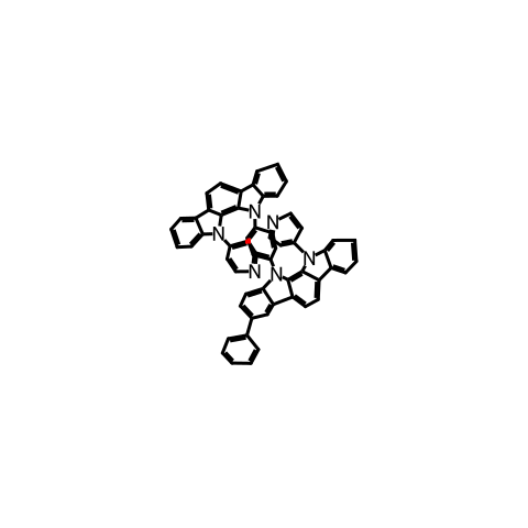 c1ccc(-c2ccc3c(c2)c2ccc4c5ccccc5n(-c5ccncc5)c4c2n3-c2ccc(-n3c4ccccc4c4ccc5c6ccccc6n(-c6ccncc6)c5c43)cc2)cc1